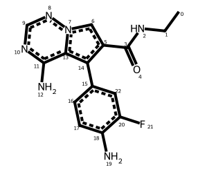 CCNC(=O)c1cn2ncnc(N)c2c1-c1ccc(N)c(F)c1